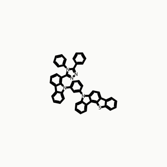 c1ccc(-c2nnc(-c3cccc4c5ccccc5n(-c5cccc(-n6c7ccccc7c7c8sc9ccccc9c8ccc76)c5)c34)n2-c2ccccc2)cc1